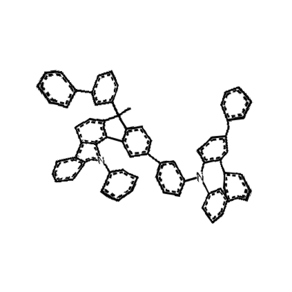 CC1(c2cccc(-c3ccccc3)c2)c2ccc(-c3cccc(N(c4ccccc4)c4ccc(-c5ccccc5)cc4-c4ccccc4)c3)cc2-c2c1ccc1c3ccccc3n(-c3ccccc3)c21